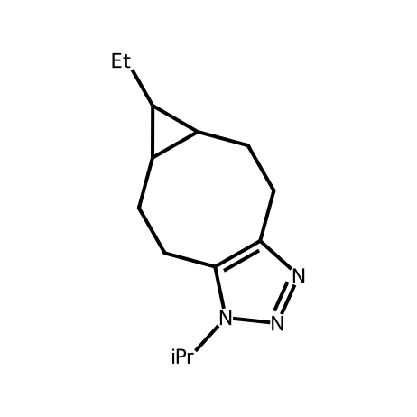 CCC1C2CCc3nnn(C(C)C)c3CCC12